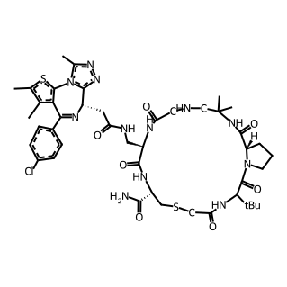 Cc1sc2c(c1C)C(c1ccc(Cl)cc1)=N[C@@H](CC(=O)NC[C@H]1NC(=O)CNCC(C)(C)NC(=O)[C@@H]3CCCN3C(=O)C(C(C)(C)C)NC(=O)CSC[C@H](C(N)=O)NC1=O)c1nnc(C)n1-2